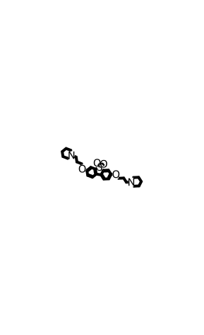 O=S1(=O)c2cc(OCCCN3CCCCC3)ccc2-c2ccc(OCCCN3CCCCC3)cc21